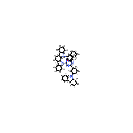 C1=CC2c3ccccc3N(c3cccc(-c4nc(-c5ccccc5)nc(-n5c6ccccc6c6ccc7c8ccccc8n(-c8ccccc8)c7c65)n4)c3)C2C=C1